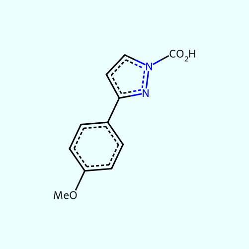 COc1ccc(-c2ccn(C(=O)O)n2)cc1